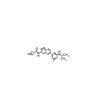 CC(C)Nc1cncc(-c2ccc3nnc(NC(=O)C4CNC4)cc3c2)n1